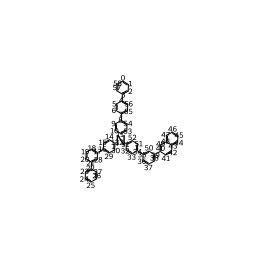 c1ccc(-c2ccc(-c3ccc(N(c4ccc(-c5cccc(-c6ccccc6)c5)cc4)c4ccc(-c5cccc(-c6ccc7ccccc7c6)c5)cc4)cc3)cc2)cc1